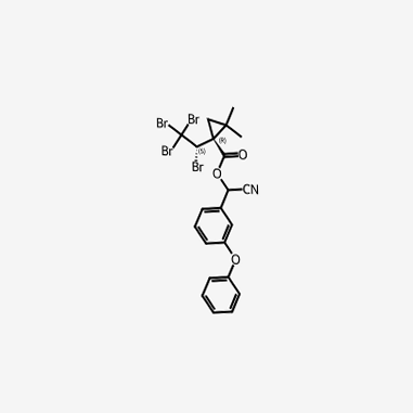 CC1(C)C[C@@]1(C(=O)OC(C#N)c1cccc(Oc2ccccc2)c1)[C@H](Br)C(Br)(Br)Br